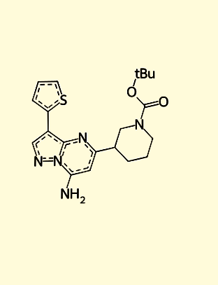 CC(C)(C)OC(=O)N1CCCC(c2cc(N)n3ncc(-c4cccs4)c3n2)C1